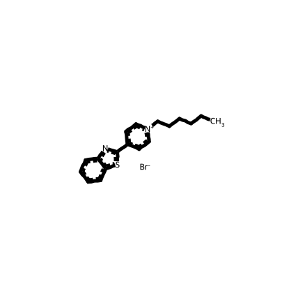 CCCCCC[n+]1ccc(-c2nc3ccccc3s2)cc1.[Br-]